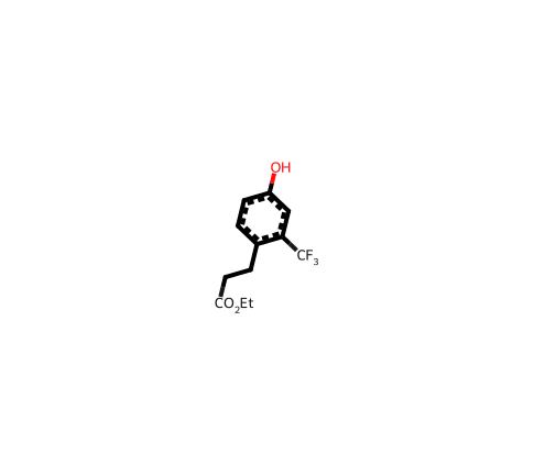 CCOC(=O)CCc1ccc(O)cc1C(F)(F)F